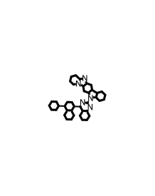 c1ccc(-c2ccc(-c3nc(-n4c5ccccc5c5cc6nc7ccccn7c6cc54)nc4ccccc34)c3ccccc23)cc1